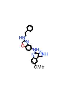 COc1ccc2nc(Nc3ccc4c(c3)N=C(NCCc3ccccc3)CO4)c3n[nH]cc3c2c1